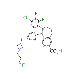 O=C(O)c1ccc2c(c1)CCCC(c1ccc(Cl)c(F)c1F)=C2c1ccc(CC2CN(CCCF)C2)cc1